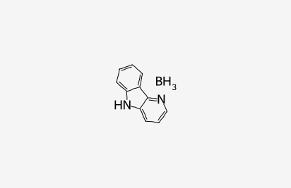 B.c1ccc2c(c1)[nH]c1cccnc12